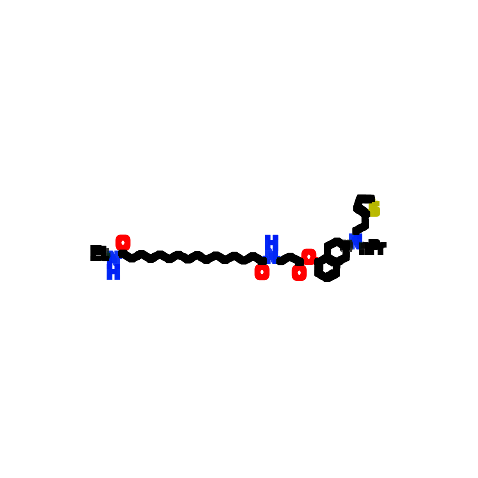 CCCN(CCc1cccs1)[C@@H]1CCc2c(cccc2OC(=O)CCNC(=O)CCCCCCCCCCCCCCC(=O)NCC)C1